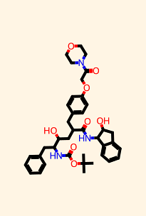 CC(C)(C)OC(=O)NC(Cc1ccccc1)C(O)CC(Cc1ccc(OCC(=O)N2CCOCC2)cc1)C(=O)NC1c2ccccc2CC1O